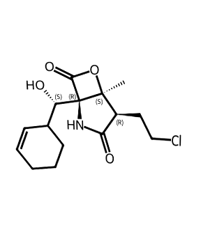 C[C@@]12OC(=O)[C@]1([C@@H](O)C1C=CCCC1)NC(=O)[C@@H]2CCCl